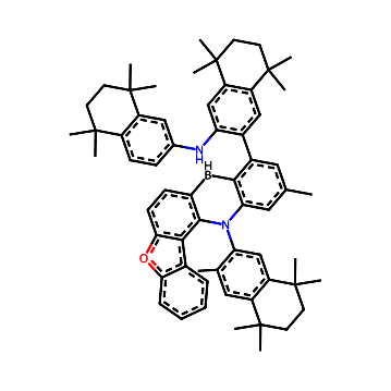 Cc1cc(-c2cc3c(cc2Nc2ccc4c(c2)C(C)(C)CCC4(C)C)C(C)(C)CCC3(C)C)c2c(c1)N(c1cc3c(cc1C)C(C)(C)CCC3(C)C)c1c(ccc3oc4ccccc4c13)B2